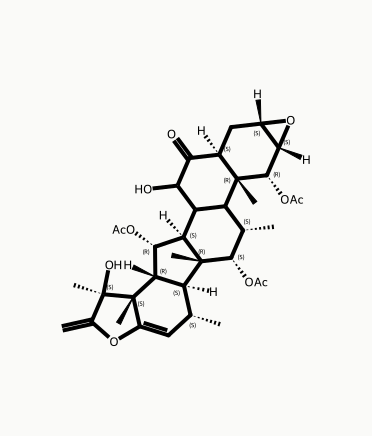 C=C1OC2=C[C@@H](C)[C@H]3[C@@H]([C@H](OC(C)=O)[C@H]4C5C(O)C(=O)[C@H]6C[C@@H]7O[C@@H]7[C@H](OC(C)=O)[C@]6(C)C5[C@H](C)[C@H](OC(C)=O)[C@]34C)[C@@]2(C)[C@]1(C)O